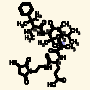 CN[C@H](C(=O)N[C@H](C(=O)N(C)[C@H](/C=C(\C)C(=O)N[C@@H](CCC(=O)O)C(=O)NCCN1C(=O)CC(S)C1=O)C(C)C)C(C)(C)C)C(C)(C)c1ccccc1